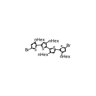 CCCCCCc1cc(Br)sc1-c1cc(CCCCCC)c(-c2sc(-c3sc(Br)cc3CCCCCC)cc2CCCCCC)s1